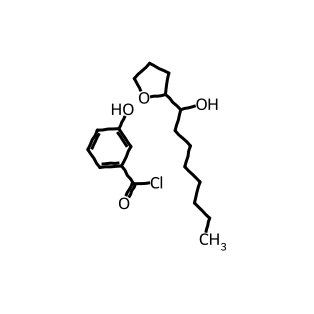 CCCCCCCC(O)C1CCCO1.O=C(Cl)c1cccc(O)c1